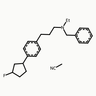 CC#N.CCN(CCCc1ccc(C2CCC(F)C2)cc1)Cc1ccccc1